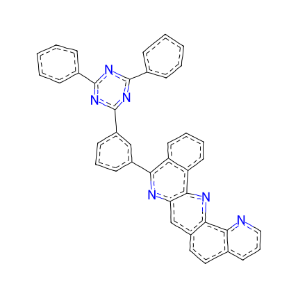 c1ccc(-c2nc(-c3ccccc3)nc(-c3cccc(-c4nc5cc6ccc7cccnc7c6nc5c5ccccc45)c3)n2)cc1